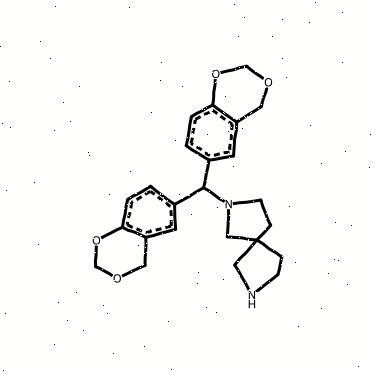 c1cc2c(cc1C(c1ccc3c(c1)COCO3)N1CCC3(CCNC3)C1)COCO2